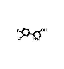 Oc1cnnc(-c2ccc(F)c(Cl)c2)c1